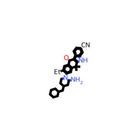 CCc1cc2c(cc1N1CCC(CC3CCCCC3)CC1N)C(C)(C)c1[nH]c3cc(C#N)ccc3c1C2=O